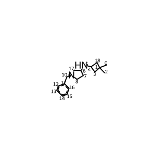 CC1(C)CC(NC2CCN(Cc3ccccc3)C2)C1